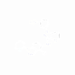 Nc1cccc(-n2nc(Nc3ccc4c(cnn4C4CCCCO4)c3Cl)c3ncccc32)c1